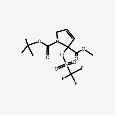 COC(=O)C1(OS(=O)(=O)C(F)(F)F)C=CCN1C(=O)OC(C)(C)C